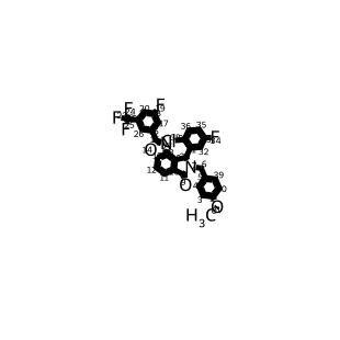 COc1ccc(CN2C(=O)c3ccc4oc(-c5cc(F)cc(C(F)(F)F)c5)nc4c3C2c2cc(F)ccc2Cl)cc1